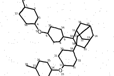 CC1CCC(OC2CCC(C3C4CC5CC(C4)CC3(C3CCC(OC4CCC(C)CC4)CC3)C5)CC2)CC1